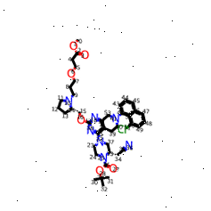 COC(=O)CCOCCCN1CCC[C@H]1COc1nc2c(c(N3CCN(C(=O)OC(C)(C)C)[C@@H](CC#N)C3)n1)CCN(c1cccc3cccc(Cl)c13)C2